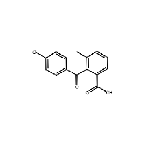 Cc1cccc(C(=O)O)c1C(=O)c1ccc(Cl)cc1